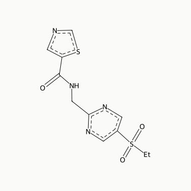 CCS(=O)(=O)c1cnc(CNC(=O)c2cncs2)nc1